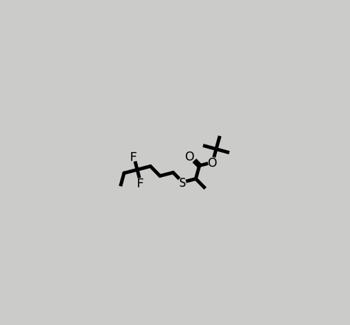 CCC(F)(F)CCCSC(C)C(=O)OC(C)(C)C